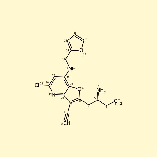 C#Cc1c(C[C@@H](N)CC(F)(F)F)oc2c(NCc3ccco3)cc(Cl)nc12